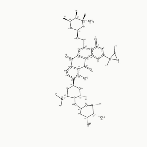 CC1OC1(C)c1cc(=O)c2c(CO[C@@H]3C[C@@](C)(N)[C@H](C)[C@H](C)O3)cc3c(c2o1)C(=O)c1c(ccc([C@@H]2C[C@@H](N(C)C)[C@@H](OC4C[C@@H](O)[C@@H](O)[C@@H](C)O4)[C@@H](C)O2)c1O)C3=O